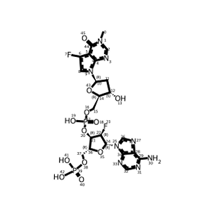 Cn1cnc2c(c(F)cn2[C@H]2C[C@H](O)[C@@H](COP(=O)(O)O[C@H]3[C@@H](F)[C@H](n4cnc5c(N)ncnc54)O[C@@H]3COP(=O)(O)O)O2)c1=O